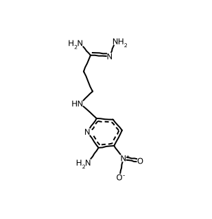 NN=C(N)CCNc1ccc([N+](=O)[O-])c(N)n1